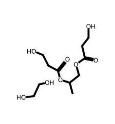 CC(COC(=O)CCO)OC(=O)CCO.OCCO